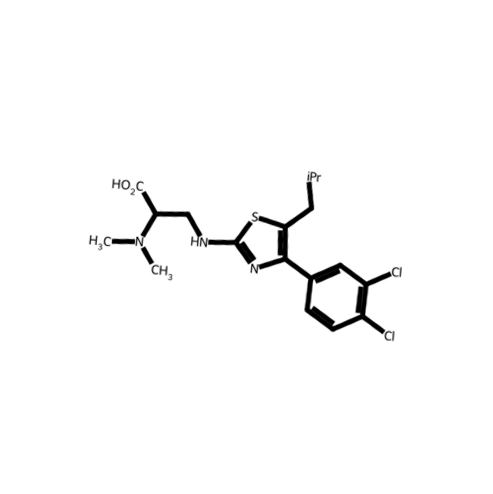 CC(C)Cc1sc(NCC(C(=O)O)N(C)C)nc1-c1ccc(Cl)c(Cl)c1